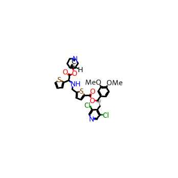 COc1ccc([C@H](Cc2c(Cl)cncc2Cl)OC(=O)c2ccc(CNC(C(=O)O[C@H]3CN4CCC3CC4)c3cccs3)s2)cc1OC